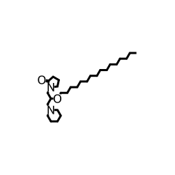 CCCCCCCCCCCCCCCCOC(CN1CCCCC1)CN1CCCC1=O